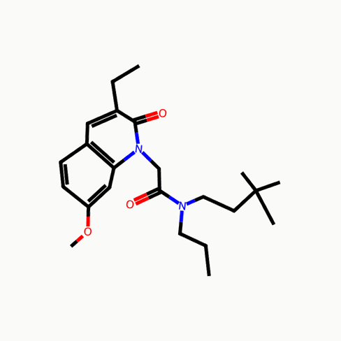 CCCN(CCC(C)(C)C)C(=O)Cn1c(=O)c(CC)cc2ccc(OC)cc21